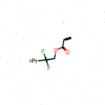 C=CC(=O)OCC(F)(F)CCC